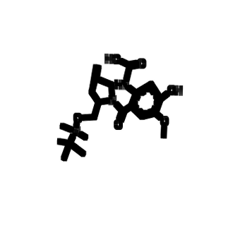 C=C1CC(CO[Si](C)(C)C(C)(C)C)N(C(=O)c2cc(OC)c(O)cc2NC(=O)O)C1